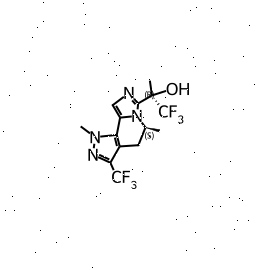 C[C@H]1Cc2c(C(F)(F)F)nn(C)c2-c2cnc([C@@](C)(O)C(F)(F)F)n21